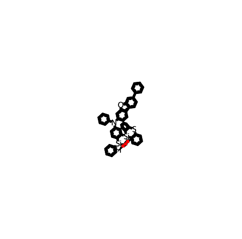 c1ccc(-c2ccc3c(c2)oc2cc(N(c4ccccc4)c4ccc5c(c4)[Si]4(c6ccccc6Sc6ccccc64)c4ccccc4[SiH]5c4ccccc4)ccc23)cc1